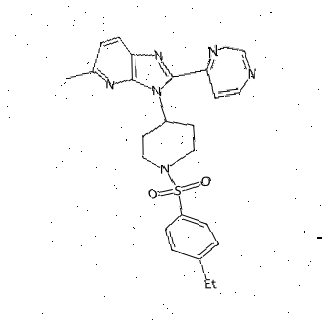 CCc1ccc(S(=O)(=O)N2CCC(n3c(-c4ccncn4)nc4ccc(C)nc43)CC2)cc1